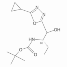 CC[C@H](NC(=O)OC(C)(C)C)C(O)c1nnc(C2CC2)o1